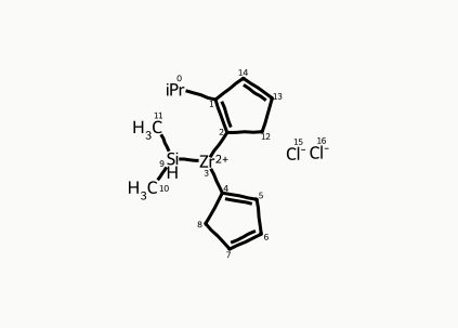 CC(C)C1=[C]([Zr+2]([C]2=CC=CC2)[SiH](C)C)CC=C1.[Cl-].[Cl-]